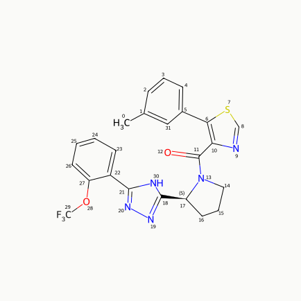 Cc1cccc(-c2scnc2C(=O)N2CCC[C@H]2c2nnc(-c3ccccc3OC(F)(F)F)[nH]2)c1